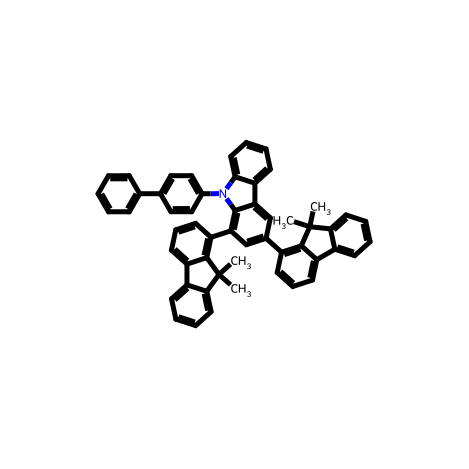 CC1(C)c2ccccc2-c2cccc(-c3cc(-c4cccc5c4C(C)(C)c4ccccc4-5)c4c(c3)c3ccccc3n4-c3ccc(-c4ccccc4)cc3)c21